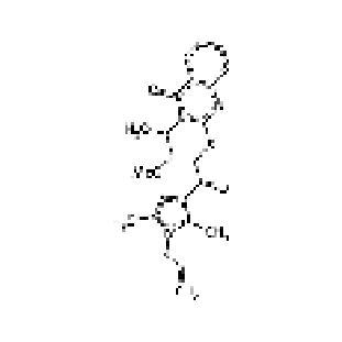 C=CCn1c(C)cc(C(=O)CSc2nc3ccccc3c(=O)n2C(C)COC)c1C